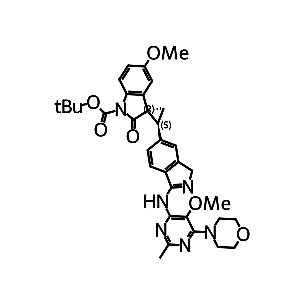 COc1ccc2c(c1)[C@]1(C[C@H]1c1ccc3c(c1)CN=C3Nc1nc(C)nc(N3CCOCC3)c1OC)C(=O)N2C(=O)OC(C)(C)C